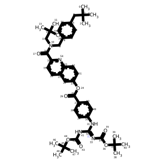 CC(C)(C)Cc1ccc(CN(CC(C)(C)C)C(=O)c2ccc3cc(OC(=O)c4ccc(N/C(=N\C(=O)OC(C)(C)C)NC(=O)OC(C)(C)C)cc4)ccc3n2)cc1